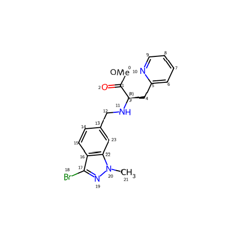 COC(=O)[C@@H](Cc1ccccn1)NCc1ccc2c(Br)nn(C)c2c1